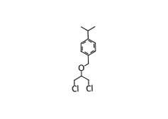 CC(C)c1ccc(COC(CCl)CCl)cc1